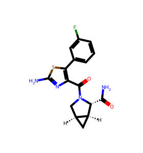 NC(=O)[C@@H]1[C@H]2C[C@H]2CN1C(=O)c1nc(N)sc1-c1cccc(F)c1